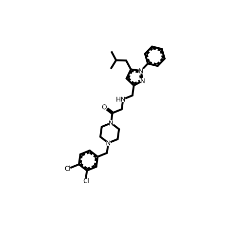 CC(C)Cc1cc(CNCC(=O)N2CCN(Cc3ccc(Cl)c(Cl)c3)CC2)nn1-c1ccccc1